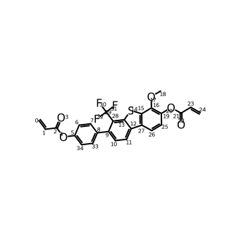 C=CC(=O)Oc1ccc(-c2ccc3c(sc4c(OC)c(OC(=O)C=C)ccc43)c2C(F)(F)F)cc1